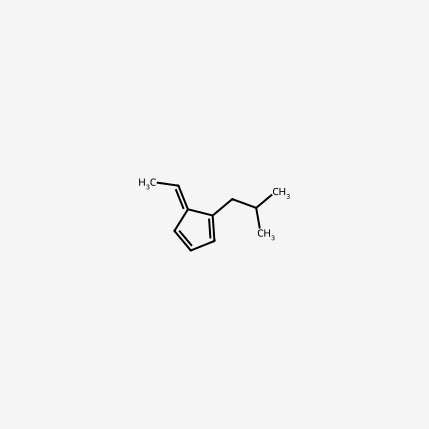 CC=C1C=CC=C1CC(C)C